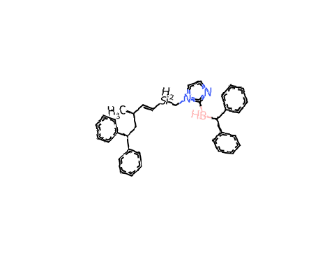 CC(C=C[SiH2]Cn1ccnc1BC(c1ccccc1)c1ccccc1)CC(c1ccccc1)c1ccccc1